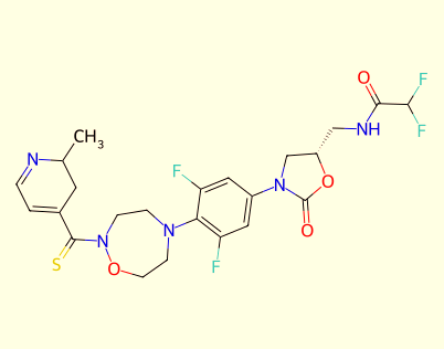 CC1CC(C(=S)N2CCN(c3c(F)cc(N4C[C@H](CNC(=O)C(F)F)OC4=O)cc3F)CCO2)=CC=N1